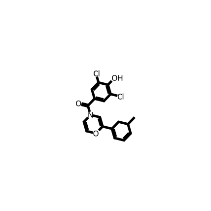 CC1C=CC=C(C2=CN(C(=O)c3cc(Cl)c(O)c(Cl)c3)C=CO2)C1